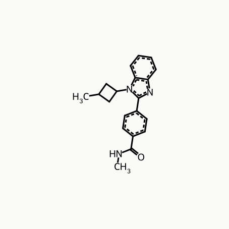 CNC(=O)c1ccc(-c2nc3ccccc3n2C2CC(C)C2)cc1